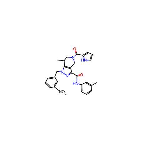 Cc1cccc(NC(=O)c2nn(Cc3cccc([N+](=O)[O-])c3)c3c2CN(C(=O)c2ccc[nH]2)CC3C)c1